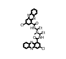 CCC(NC(=O)c1cc(Cl)cc2nc3ccccc3nc12)N(C)C(CC)NC(=O)c1cc(Cl)cc2nc3ccccc3nc12